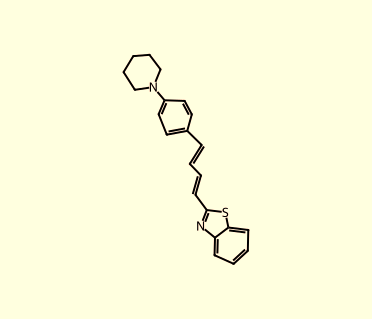 C(C=Cc1nc2ccccc2s1)=Cc1ccc(N2CCCCC2)cc1